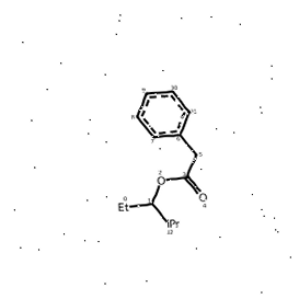 CCC(OC(=O)Cc1ccccc1)C(C)C